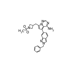 CS(=O)(=O)N1CC(Cc2cc(-c3ccc4cn(Cc5ccccc5)nc4c3)c3c(N)ncnn23)C1